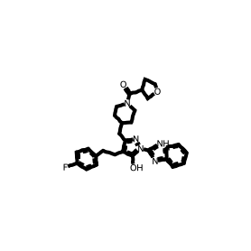 O=C(C1CCOC1)N1CCC(Cc2nn(-c3nc4ccccc4[nH]3)c(O)c2CCc2ccc(F)cc2)CC1